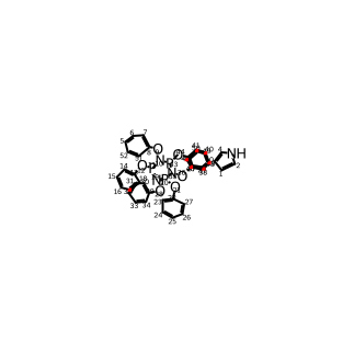 c1cc[nH]c1.c1ccc(ON2P(Oc3ccccc3)N=P(Oc3ccccc3)(Oc3ccccc3)N(Oc3ccccc3)P2Oc2ccccc2)cc1